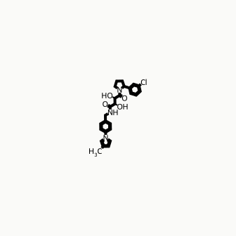 Cc1ccn(-c2ccc(CNC(=O)[C@H](O)[C@@H](O)C(=O)N3CCCC3c3cccc(Cl)c3)cc2)c1